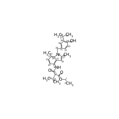 CCOC(=O)C(C(=O)Nc1ccc(C)c2c1cc(C)n2Cc1ccc(O)c(C(C)C)c1)C(C)C